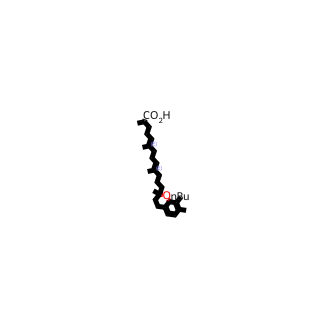 CCCCC12OC(C)(CCC/C(C)=C/CC/C(C)=C/CCC(C)C(=O)O)CCC1=C=CC(C)=C2C